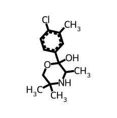 Cc1cc(C2(O)OCC(C)(C)NC2C)ccc1Cl